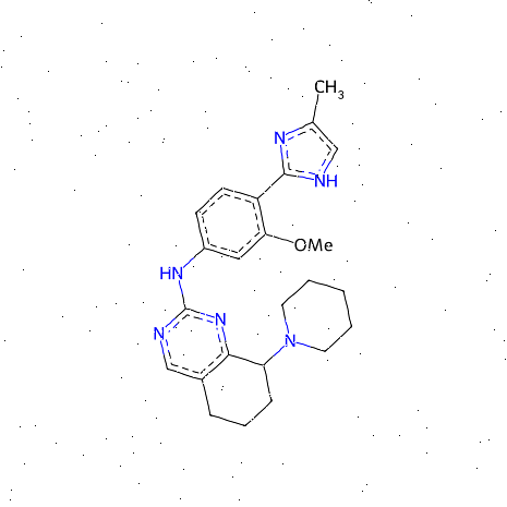 COc1cc(Nc2ncc3c(n2)C(N2CCCCC2)CCC3)ccc1-c1nc(C)c[nH]1